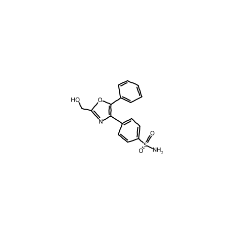 NS(=O)(=O)c1ccc(-c2nc(CO)oc2-c2ccccc2)cc1